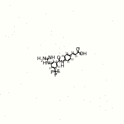 N=C(N)Nc1cc(C(=O)Nc2ccc(/C=C/C(=O)O)cc2)cc(C(F)(F)F)c1